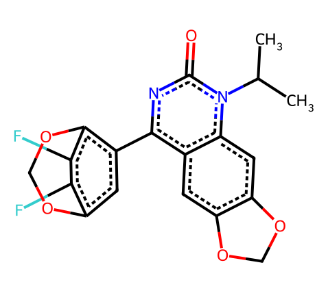 CC(C)n1c(=O)nc(-c2cc3c(F)c(F)c2OCO3)c2cc3c(cc21)OCO3